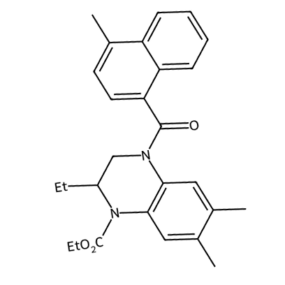 CCOC(=O)N1c2cc(C)c(C)cc2N(C(=O)c2ccc(C)c3ccccc23)CC1CC